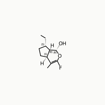 CC[C@H]1CC[C@@H]2C(C)=C(F)O[C@@H](O)[C@H]12